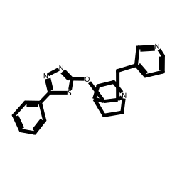 c1ccc(-c2nnc(OC3C4CCN(CC4)C3Cc3cccnc3)s2)cc1